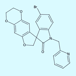 O=C1N(Cc2ccccn2)c2ccc(Br)cc2C12COc1cc3c(cc12)OCCO3